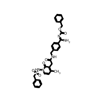 Cc1ccn(NS(=O)(=O)Cc2ccccc2)c(=O)c1CC(=O)NCc1ccc(/C(N)=N/C(=O)OCc2ccccc2)cc1